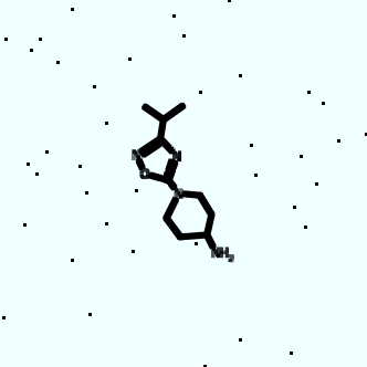 CC(C)c1noc(N2CCC(N)CC2)n1